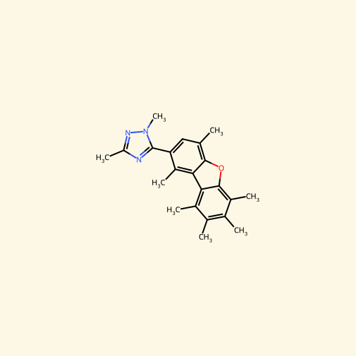 Cc1nc(-c2cc(C)c3oc4c(C)c(C)c(C)c(C)c4c3c2C)n(C)n1